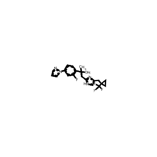 CC(O)(Cc1nc(CC2(C(F)(F)F)CC2)c[nH]1)c1ccc(-n2cccn2)cc1F